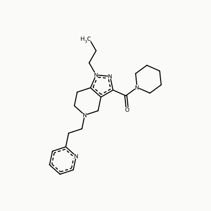 CCCn1nc(C(=O)N2CCCCC2)c2c1CCN(CCc1ccccn1)C2